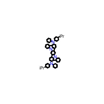 CC(C)c1ccc(N(c2ccc3c4cc5c(cc4n4c6ccccc6c2c34)c2ccc(N(C3=CCC(C(C)C)C=C3)c3ccccc3)c3c4ccccc4n5c23)C2C=CC=CC2)cc1